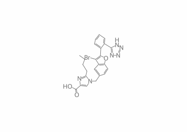 CCCCc1nc(C(=O)O)cn1Cc1ccc2oc(-c3ccccc3-c3nnn[nH]3)c(Br)c2c1